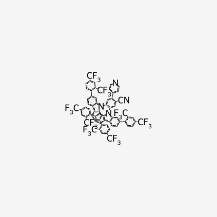 N#Cc1cc(-n2c3cc(-c4ccc(C(F)(F)F)cc4C(F)(F)F)ccc3c3ccc(-c4ccc(C(F)(F)F)cc4C(F)(F)F)cc32)c(-n2c3cc(-c4ccc(C(F)(F)F)cc4C(F)(F)F)ccc3c3ccc(-c4ccc(C(F)(F)F)cc4C(F)(F)F)cc32)cc1-c1ccncc1